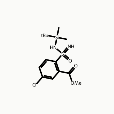 COC(=O)c1cc(Cl)ccc1S(=N)(=O)N[Si](C)(C)C(C)(C)C